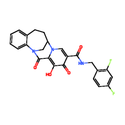 O=C(NCc1ccc(F)cc1F)c1cn2c(c(O)c1=O)C(=O)N1CC2CCc2ccccc21